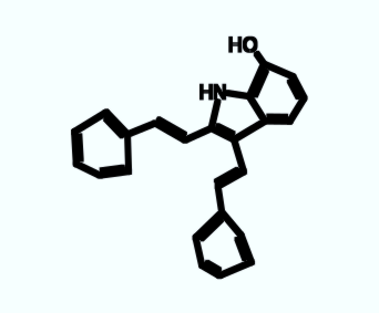 Oc1cccc2c(/C=C/c3ccccc3)c(/C=C/c3ccccc3)[nH]c12